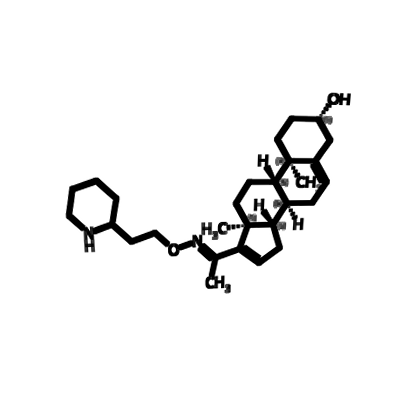 CC(=NOCCC1CCCCN1)C1=CC[C@H]2[C@@H]3CC=C4C[C@@H](O)CC[C@]4(C)[C@H]3CC[C@]12C